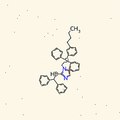 CCCCc1cccc([Si](Cn2ccnc2BC(c2ccccc2)c2ccccc2)(c2ccccc2)c2ccccc2)c1